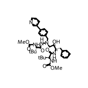 COC(=O)N[C@H](C(=O)N[C@@H](Cc1ccccc1)[C@@H](O)CN(Cc1ccc(-c2cccnc2)cc1)NC(=O)[C@@H](NC(=O)OC)C(C)(C)C)C(C)(C)C